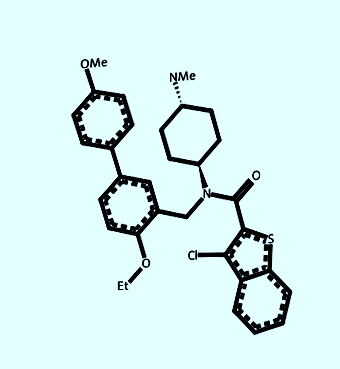 CCOc1ccc(-c2ccc(OC)cc2)cc1CN(C(=O)c1sc2ccccc2c1Cl)[C@H]1CC[C@H](NC)CC1